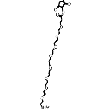 CC(=O)NCCOCCOCCOCCOCCOCCOCCOCCOCCC(=O)OC1C(=O)CCC1=O